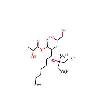 CCCCCCCCCCCCCCCCC(CC(O)CO)C(=O)OC(=O)C(C)O.O=C(O)CC(O)(CC(=O)O)C(=O)O